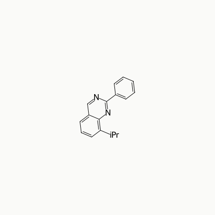 CC(C)c1cccc2cnc(-c3ccccc3)nc12